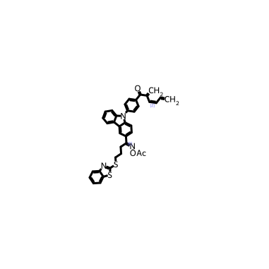 C=C/C=C\C(=C)C(=O)c1ccc(-n2c3ccccc3c3cc(/C(CCCSc4nc5ccccc5s4)=N/OC(C)=O)ccc32)cc1